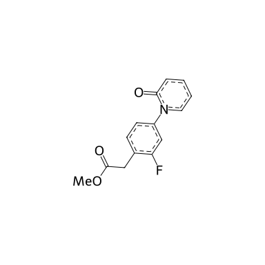 COC(=O)Cc1ccc(-n2ccccc2=O)cc1F